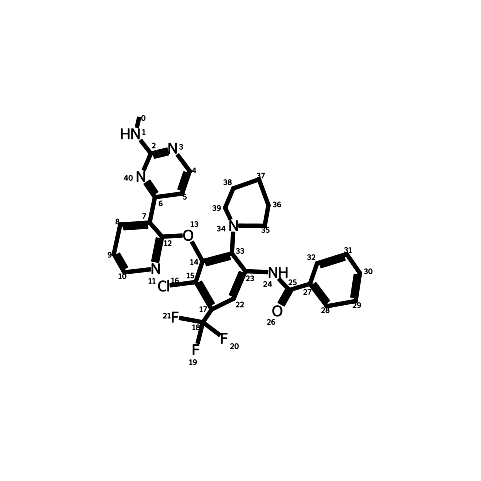 CNc1nccc(-c2cccnc2Oc2c(Cl)c(C(F)(F)F)cc(NC(=O)c3ccccc3)c2N2CCCCC2)n1